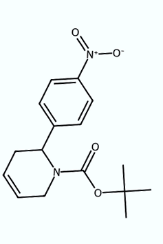 CC(C)(C)OC(=O)N1CC=CCC1c1ccc([N+](=O)[O-])cc1